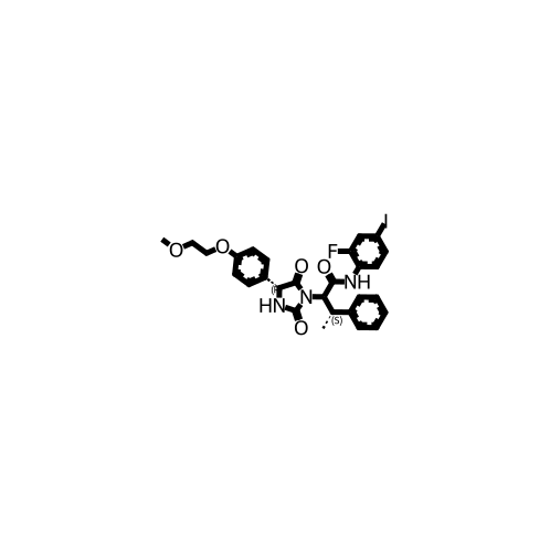 COCCOc1ccc([C@H]2NC(=O)N(C(C(=O)Nc3ccc(I)cc3F)[C@@H](C)c3ccccc3)C2=O)cc1